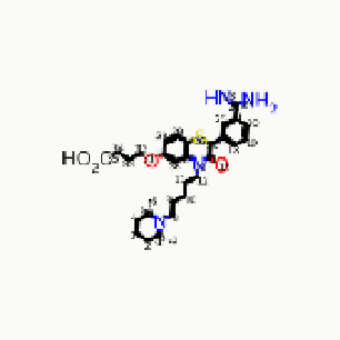 C[C@@H]1CCC[C@H](C)N1CCCCCN1C(=O)C(c2cccc(C(=N)N)c2)Sc2ccc(OCCCC(=O)O)cc21